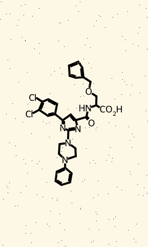 O=C(NC(COCc1ccccc1)C(=O)O)c1cc(-c2ccc(Cl)c(Cl)c2)nc(N2CCN(c3ccccc3)CC2)n1